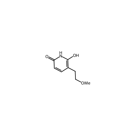 COCCc1ccc(=O)[nH]c1O